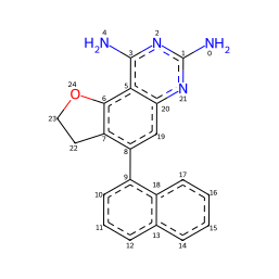 Nc1nc(N)c2c3c(c(-c4cccc5ccccc45)cc2n1)CCO3